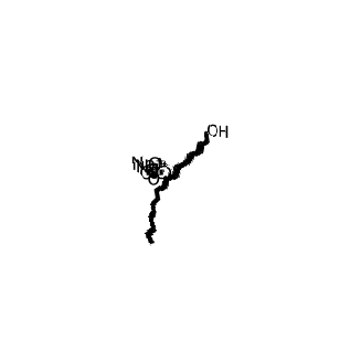 CCCCCCCCCCCCCCCCCCO.O=S(=O)([O-])[O-].[Na+].[Na+]